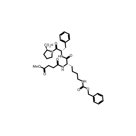 COC(=O)CCC(=O)N[C@@H](CCCCNC(=O)OCc1ccccc1)C(=O)N[C@@H](Cc1ccccc1)C(=O)N1CCC[C@H]1C(=O)O